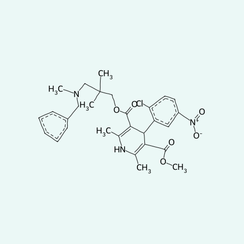 COC(=O)C1=C(C)NC(C)=C(C(=O)OCC(C)(C)CN(C)Cc2ccccc2)C1c1cc([N+](=O)[O-])ccc1Cl